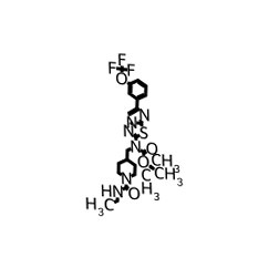 CCNC(=O)N1CCC(CN(C(=O)OC(C)(C)C)c2nn3cc(-c4cccc(OC(F)(F)F)c4)nc3s2)CC1